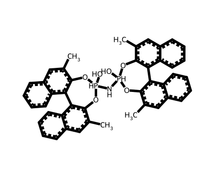 Cc1cc2ccccc2c2c1O[PH](O)(N[PH]1(O)Oc3c(C)cc4ccccc4c3-c3c(c(C)cc4ccccc34)O1)Oc1c(C)cc3ccccc3c1-2